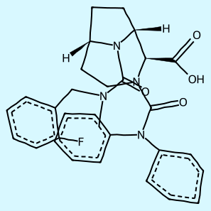 CN(Cc1ccccc1F)C(=O)N1[C@H]2CC[C@@H]1[C@@H](C(=O)O)N(C(=O)N(c1ccccc1)c1ccccc1)CC2